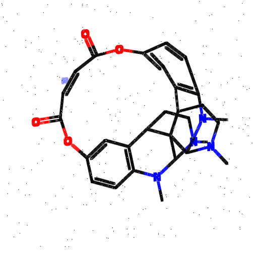 CN1CCC2c3cc4ccc3N(C)C1C21C2CCN(C)C1N(C)c1ccc(cc12)OC(=O)/C=C\C(=O)O4